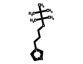 CC(C)(C)[Si](C)(C)OCCCn1ccnc1